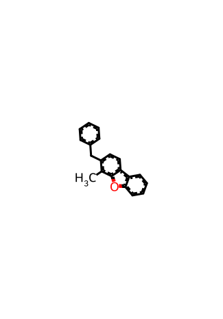 Cc1c(Cc2ccccc2)ccc2c1oc1ccccc12